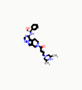 CC1CN(C/C=C/C(=O)N2CCc3c(cn4ncnc(N[C@H](CO)c5ccccc5)c34)C2)CC(C)N1